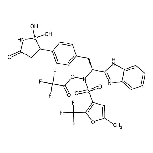 Cc1cc(S(=O)(=O)N(OC(=O)C(F)(F)F)[C@@H](Cc2ccc(C3CC(=O)NS3(O)O)cc2)c2nc3ccccc3[nH]2)c(C(F)(F)F)o1